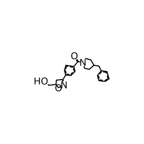 O=C(c1ccc(C2=NOC(CO)C2)cc1)N1CCC(Cc2ccccc2)CC1